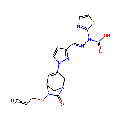 C=CCON1C(=O)N2CC(n3ccc(C=NN(C(=O)O)c4nccs4)n3)=CC1C2